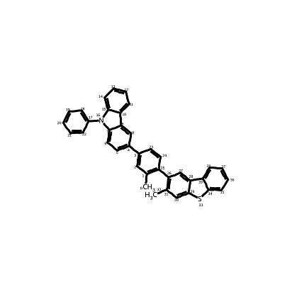 Cc1cc(-c2ccc3c(c2)c2ccccc2n3-c2ccccc2)ccc1-c1cc2c(cc1C)sc1ccccc12